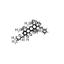 CN(C)CC(=O)Nc1cc(N(C)C)c2c(c1O)C(=O)C1=C(O)[C@]3(O)C(=O)C(C(=O)NCN4CCCC4)=C(O)[C@@H](N(C)C)C3CC1C2